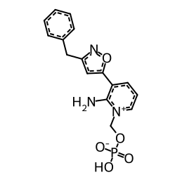 Nc1c(-c2cc(Cc3ccccc3)no2)ccc[n+]1COP(=O)([O-])O